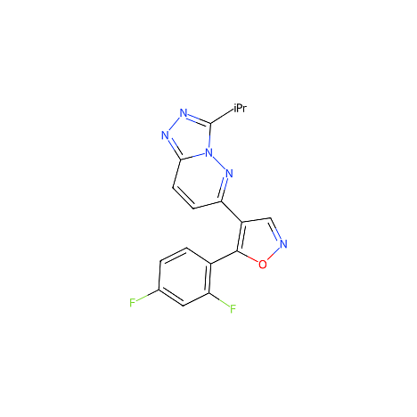 CC(C)c1nnc2ccc(-c3cnoc3-c3ccc(F)cc3F)nn12